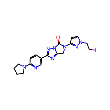 O=C1N(c2ccn(CCI)n2)Cc2nc(-c3ccc(N4CCCC4)nc3)nn21